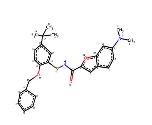 CN(C)c1ccc2cc(C(=O)NSc3cc(C(C)(C)C)ccc3OCc3ccccc3)oc2c1